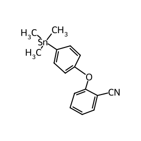 [CH3][Sn]([CH3])([CH3])[c]1ccc(Oc2ccccc2C#N)cc1